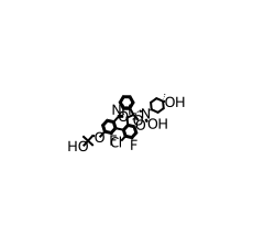 C[C@H]1c2c(cc(F)c(Cl)c2-c2c(C(N)=O)ccc(OCC(C)(C)O)c2F)O[C@]1(CN(C(=O)O)[C@H]1CC[C@](C)(O)CC1)c1ccccc1